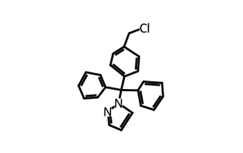 ClCc1ccc(C(c2ccccc2)(c2ccccc2)n2cccn2)cc1